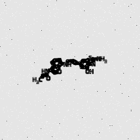 C=CC(=O)Nc1coc2c(NCC#Cc3cc(O)c4nc(N)sc4c3)cccc12